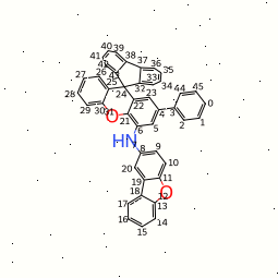 c1ccc(-c2cc(Nc3ccc4oc5ccccc5c4c3)c3c(c2)C2(c4ccccc4O3)c3ccccc3-c3ccccc32)cc1